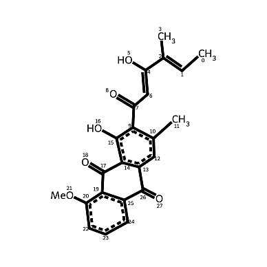 CC=C(C)C(O)=CC(=O)c1c(C)cc2c(c1O)C(=O)c1c(OC)cccc1C2=O